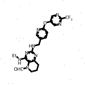 CCNc1nc(NCc2ccc(Oc3cnc(C(F)(F)F)nc3)nc2)nc2c1N(C=O)CCC2